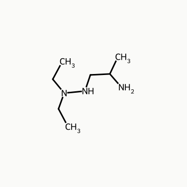 CCN(CC)NCC(C)N